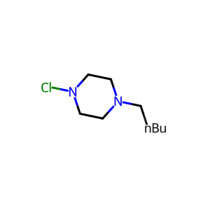 CCCCCN1CCN(Cl)CC1